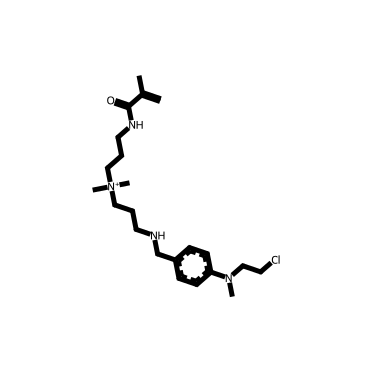 C=C(C)C(=O)NCCC[N+](C)(C)CCCNCc1ccc(N(C)CCCl)cc1